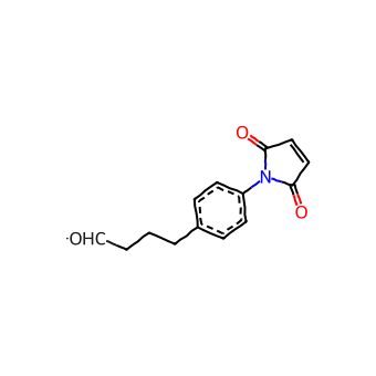 O=[C]CCCc1ccc(N2C(=O)C=CC2=O)cc1